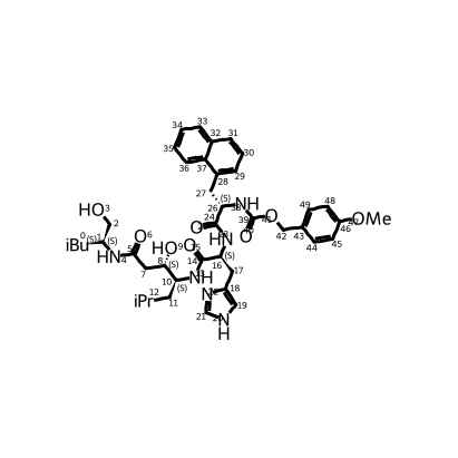 CC[C@H](C)[C@@H](CO)NC(=O)C[C@H](O)[C@H](CC(C)C)NC(=O)[C@H](Cc1c[nH]cn1)NC(=O)[C@H](Cc1cccc2ccccc12)NC(=O)OCc1ccc(OC)cc1